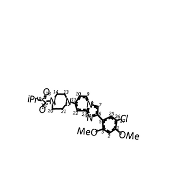 COc1cc(OC)c(-c2cn3ccc(N4CCN(S(=O)(=O)C(C)C)CC4)cc3n2)cc1Cl